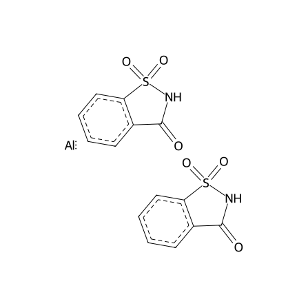 O=C1NS(=O)(=O)c2ccccc21.O=C1NS(=O)(=O)c2ccccc21.[Al]